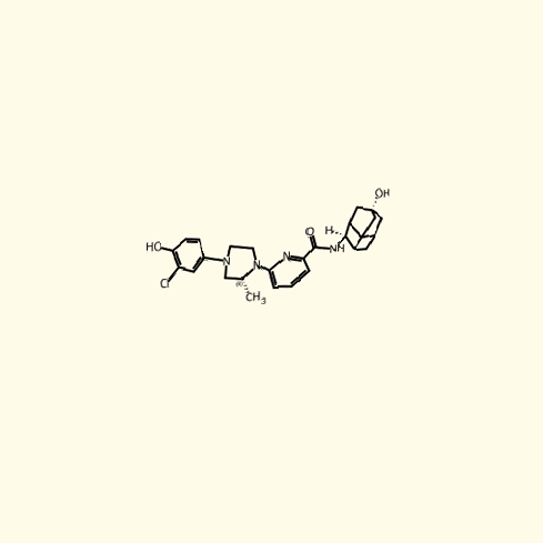 C[C@@H]1CN(c2ccc(O)c(Cl)c2)CCN1c1cccc(C(=O)N[C@H]2C3CC4CC2C[C@](O)(C4)C3)n1